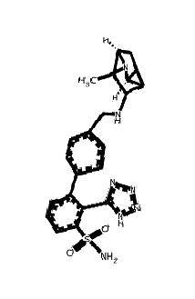 CN1[C@H]2CC(NCc3ccc(-c4cccc(S(N)(=O)=O)c4-c4nnn[nH]4)cc3)C3C(C2)[C@@H]31